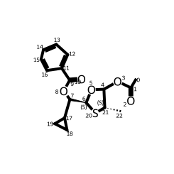 CC(=O)OC1O[C@H](C(OC(=O)c2ccccc2)C2CC2)S[C@H]1C